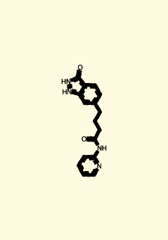 O=C(CCCc1ccc2c(=O)[nH][nH]c2c1)Nc1ccccn1